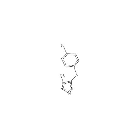 CCc1ccc(Sc2nnnn2C)cc1